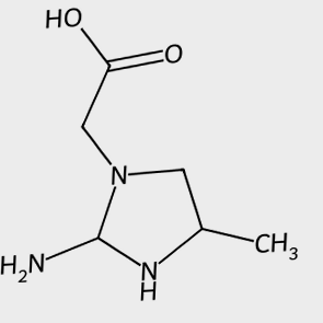 CC1CN(CC(=O)O)C(N)N1